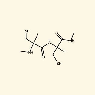 CNC(=O)C(F)(CS)NC(=O)C(F)(CS)NC